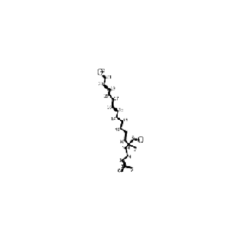 CC(C)=CCCC(C)(C=O)CCCCCC=CCCC=CC=O